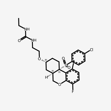 CCNC(=O)NCCO[C@@H]1CC[C@@]2(S(=O)(=O)c3ccc(Cl)cc3)c3c(F)ccc(F)c3OC[C@H]2C1